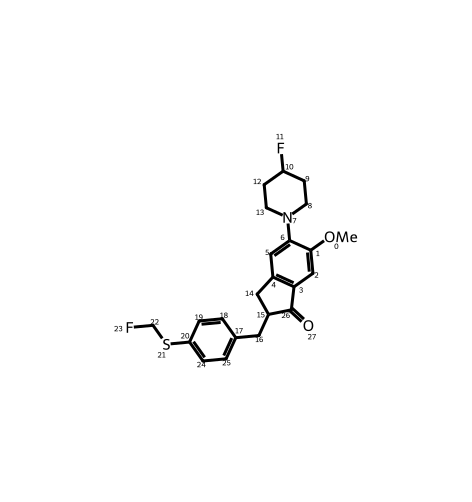 COc1cc2c(cc1N1CCC(F)CC1)CC(Cc1ccc(SCF)cc1)C2=O